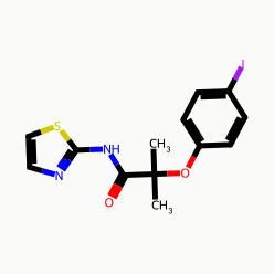 CC(C)(Oc1ccc(I)cc1)C(=O)Nc1nccs1